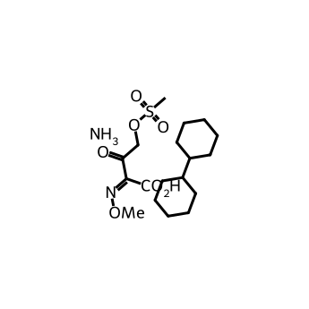 C1CCC(C2CCCCC2)CC1.CO/N=C(\C(=O)O)C(=O)COS(C)(=O)=O.N